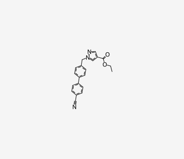 CCOC(=O)c1cnn(Cc2ccc(-c3ccc(C#N)cc3)cc2)c1